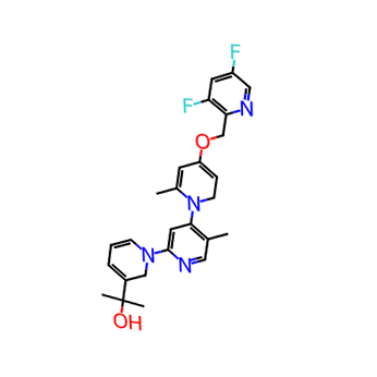 CC1=CC(OCc2ncc(F)cc2F)=CCN1c1cc(N2C=CC=C(C(C)(C)O)C2)ncc1C